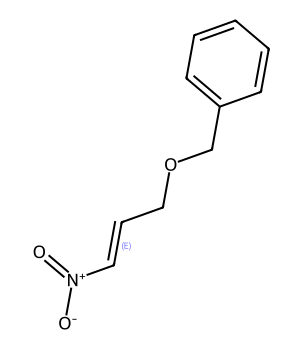 O=[N+]([O-])/C=C/COCc1ccccc1